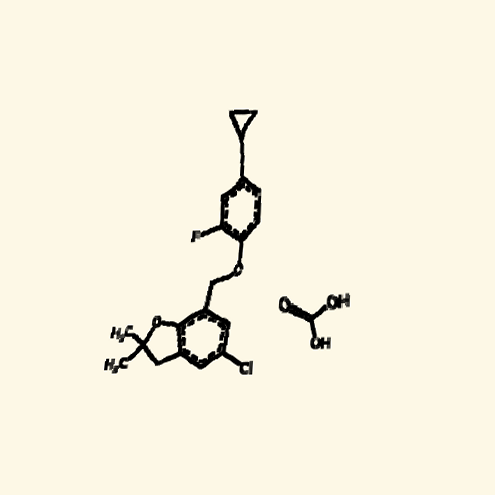 CC1(C)Cc2cc(Cl)cc(COc3ccc(C4CC4)cc3F)c2O1.O=C(O)O